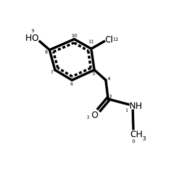 CNC(=O)Cc1ccc(O)cc1Cl